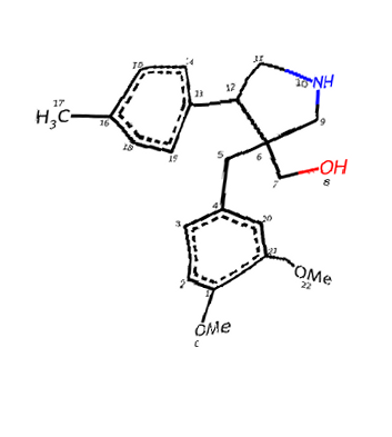 COc1ccc(CC2(CO)CNCC2c2ccc(C)cc2)cc1OC